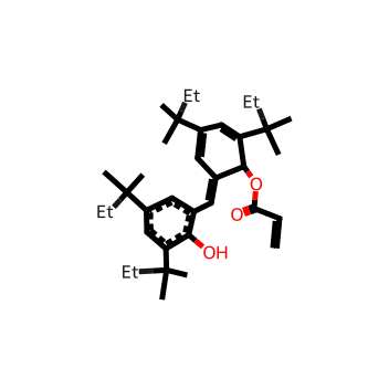 C=CC(=O)OC1C(=Cc2cc(C(C)(C)CC)cc(C(C)(C)CC)c2O)C=C(C(C)(C)CC)C=C1C(C)(C)CC